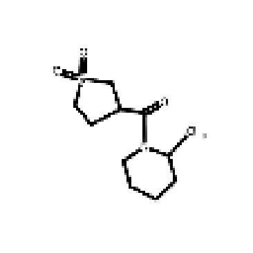 CC1CCCCN1C(=O)C1CCS(=O)(=O)C1